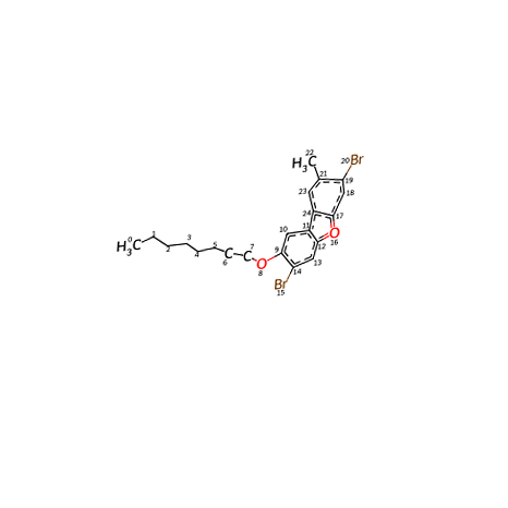 CCCCCCCCOc1cc2c(cc1Br)oc1cc(Br)c(C)cc12